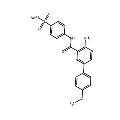 CC(=O)NS(=O)(=O)c1ccc(NC(=O)c2nc(-c3ccc(OC(F)(F)F)cc3)cnc2N)cc1